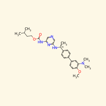 COc1ccc(-c2ccc([C@H](C)Nc3cncc(NC(=O)OCCC(C)C)n3)cc2)cc1N(C)C